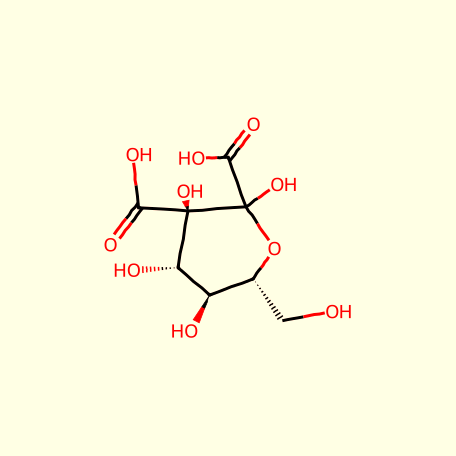 O=C(O)C1(O)O[C@H](CO)[C@@H](O)[C@H](O)[C@]1(O)C(=O)O